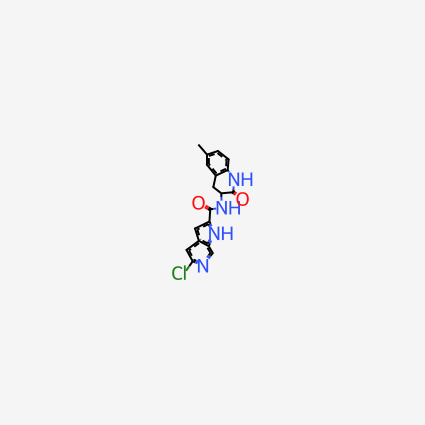 Cc1ccc2c(c1)CC(NC(=O)c1cc3cc(Cl)ncc3[nH]1)C(=O)N2